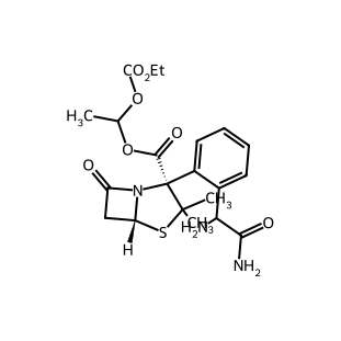 CCOC(=O)OC(C)OC(=O)[C@@]1(c2ccccc2C(N)C(N)=O)N2C(=O)C[C@H]2SC1(C)C